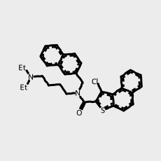 CCN(CC)CCCCN(Cc1ccc2ccccc2c1)C(=O)c1sc2ccc3ccccc3c2c1Cl